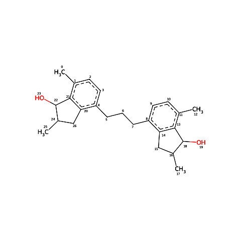 Cc1ccc(CCCc2ccc(C)c3c2CC(C)C3O)c2c1C(O)C(C)C2